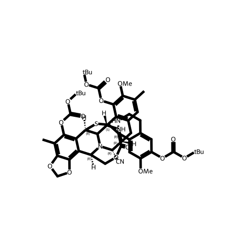 COc1cc2c(cc1OC(=O)OC(C)(C)C)CCN[C@]21CS[C@@H]2c3c(OC(=O)OC(C)(C)C)c(C)c4c(c3[C@H](COC1=O)N1C2[C@H]2N[C@H](Cc3cc(C)c(OC)c(OC(=O)OC(C)(C)C)c32)[C@@H]1C#N)OCO4